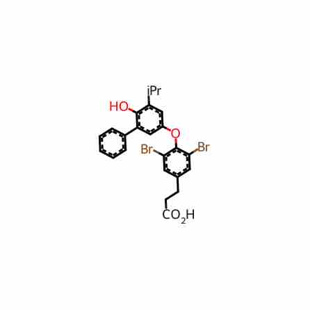 CC(C)c1cc(Oc2c(Br)cc(CCC(=O)O)cc2Br)cc(-c2ccccc2)c1O